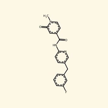 Cn1ccc(C(=O)Nc2ccc(Cc3cccc(F)c3)cn2)cc1=O